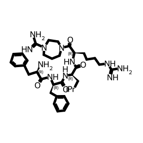 CC(C)C[C@@H](NC(=O)[C@@H](Cc1ccccc1)NC(=O)[C@H](N)Cc1ccccc1)C(=O)N[C@H](CCCCNC(=N)N)C(=O)N1CCCN(C(=N)N)CC1